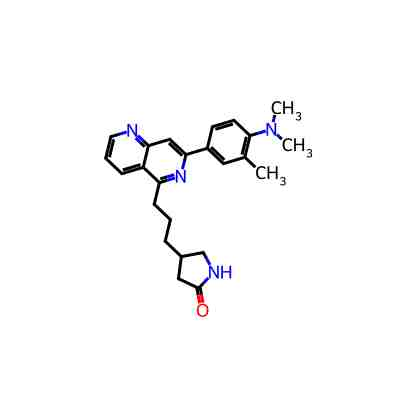 Cc1cc(-c2cc3ncccc3c(CCCC3CNC(=O)C3)n2)ccc1N(C)C